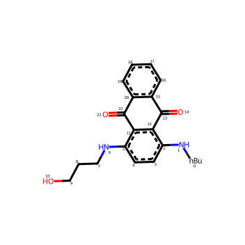 CCCCNc1ccc(NCCCO)c2c1C(=O)c1ccccc1C2=O